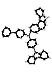 c1ccc(-c2ccc(N(c3ccc(-n4c5ccccc5c5ccccc54)cc3)c3ccc4c(ccc5oc6ccccc6c54)c3)cc2)cc1